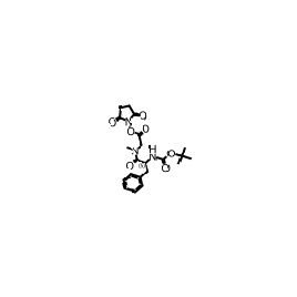 CN(CC(=O)ON1C(=O)CCC1=O)C(=O)[C@H](Cc1ccccc1)NC(=O)OC(C)(C)C